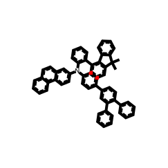 CC1(C)c2ccccc2-c2c(-c3ccccc3N(c3ccc(-c4ccc(-c5ccccc5)c(-c5ccccc5)c4)cc3)c3ccc4c(ccc5ccccc54)c3)cccc21